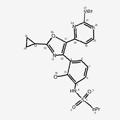 CCCS(=O)(=O)Nc1cccc(-c2nc(C3CC3)oc2-c2ccnc(SC)n2)c1Cl